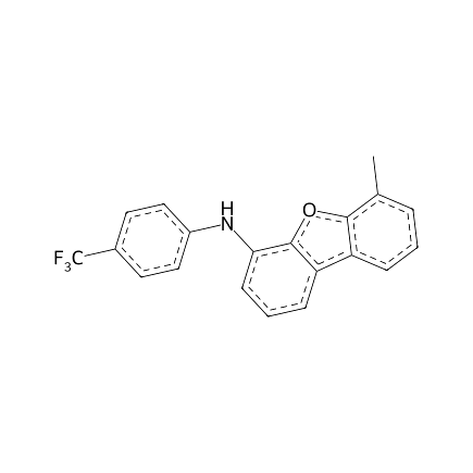 Cc1cccc2c1oc1c(Nc3ccc(C(F)(F)F)cc3)cccc12